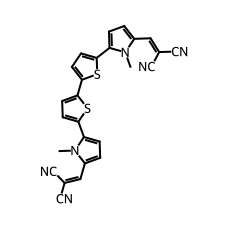 Cn1c(C=C(C#N)C#N)ccc1-c1ccc(-c2ccc(-c3ccc(C=C(C#N)C#N)n3C)s2)s1